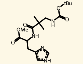 COC(=O)C(Cc1c[nH]cn1)NC(=O)C(C)(C)CNC(=O)OC(C)(C)C